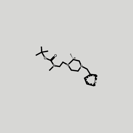 C[C@@H]1CN(Cc2ccccc2)CCN1CCN(C)C(=O)OC(C)(C)C